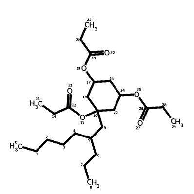 CCCCCC(CCC)CC1(OC(=O)CC)CC(OC(=O)CC)CC(OC(=O)CC)C1